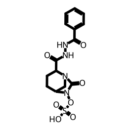 O=C(NNC(=O)C1CCC2CN1C(=O)N2OS(=O)(=O)O)c1ccccc1